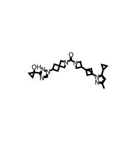 Cc1cc(C2CC2)n(C23CC(C4CN(C(=O)N5CC6(CC(n7cnc(C8(O)CC8)n7)C6)C5)C4)(C2)C3)n1